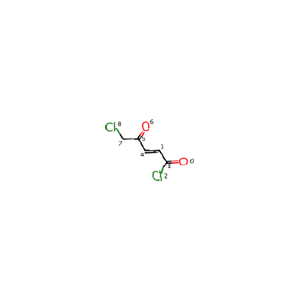 O=C(Cl)C=CC(=O)CCl